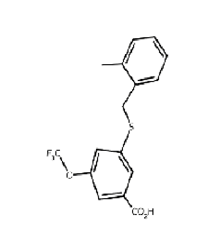 Cc1ccccc1CSc1cc(OC(F)(F)F)cc(C(=O)O)c1